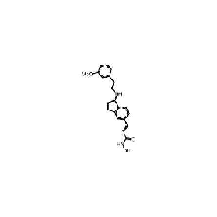 COc1cccc(CCNC2CCc3cc(C=CC(=O)NO)ccc32)c1